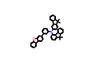 CC1(C)c2ccccc2-c2cc(N(c3cccc(-c4ccc5c(c4)oc4ccccc45)c3)c3cccc4c3-c3ccccc3C4(C)C)ccc21